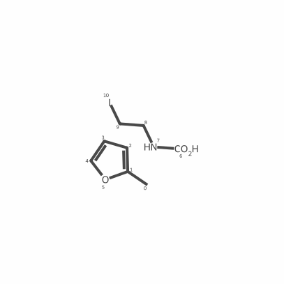 Cc1ccco1.O=C(O)NCCI